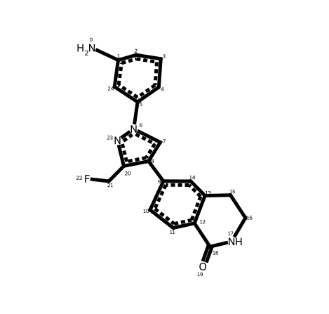 Nc1cccc(-n2cc(-c3ccc4c(c3)CCNC4=O)c(CF)n2)c1